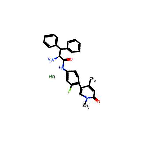 Cc1cc(=O)n(C)cc1-c1ccc(NC(=O)[C@@H](N)C(c2ccccc2)c2ccccc2)cc1F.Cl